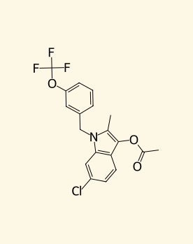 CC(=O)Oc1c(C)n(Cc2cccc(OC(F)(F)F)c2)c2cc(Cl)ccc12